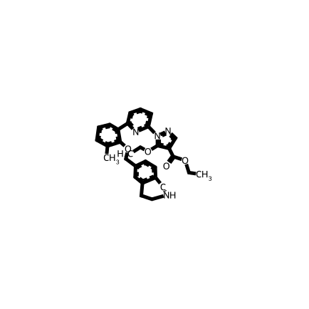 CCOC(=O)c1cnn(-c2cccc(-c3cccc(C)c3OCc3ccc4c(c3)CCNC4)n2)c1OCC